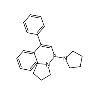 C(=C(c1ccccc1)c1ccccc1)P(N1CCCC1)N1CCCC1